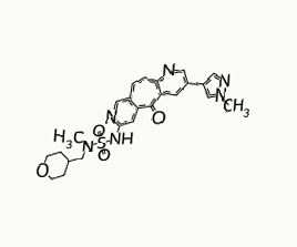 CN(CC1CCOCC1)S(=O)(=O)Nc1cc2c(=O)c3cc(-c4cnn(C)c4)cnc3ccc2cn1